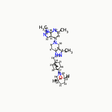 Cc1cc(N2CCc3c(c(C)nn3CC34CCC(N5C[C@H]6CC[C@@H](C5)O6)(CC3)CC4)C2)c2cnn(C)c2n1